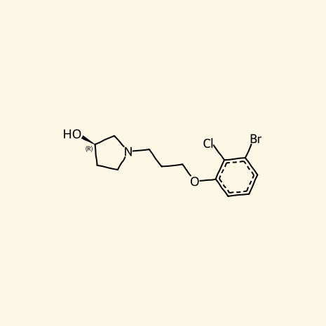 O[C@@H]1CCN(CCCOc2cccc(Br)c2Cl)C1